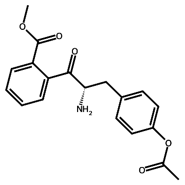 COC(=O)c1ccccc1C(=O)[C@@H](N)Cc1ccc(OC(C)=O)cc1